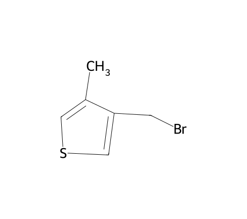 Cc1cscc1CBr